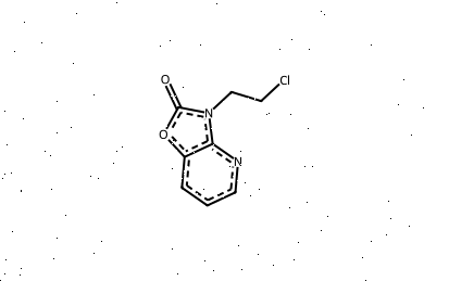 O=c1oc2cccnc2n1CCCl